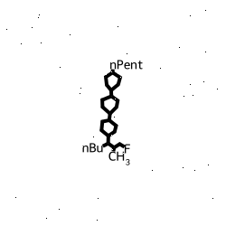 CCCCCC1CCC(C2CCC(C3CCC(C(CCCC)C(C)CF)CC3)CC2)CC1